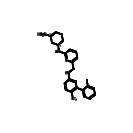 Cc1ccccc1-c1nc(NSc2cccc(N[C@@H]3CCC[C@H](C(=O)O)C3)n2)ccc1C(F)(F)F